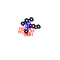 Oc1c(O)c(O)c(-c2nc(-c3ccc4c(c3)Cc3ccccc3-4)nc(-n3c4ccccc4c4ccc5c6ccccc6n(-c6ccccc6)c5c43)n2)c(O)c1O